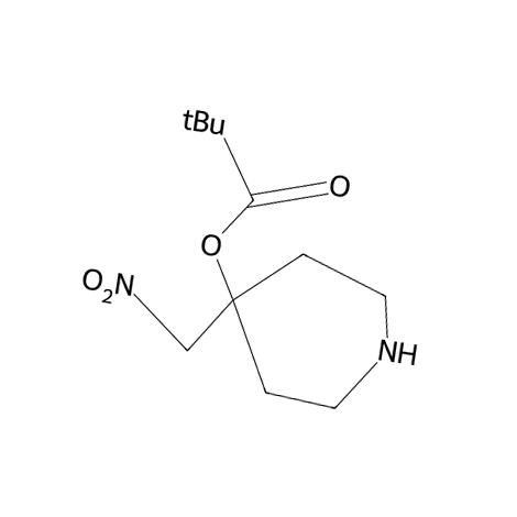 CC(C)(C)C(=O)OC1(C[N+](=O)[O-])CCNCC1